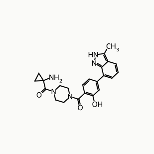 Cc1[nH]nc2c(-c3ccc(C(=O)N4CCN(C(=O)C5(N)CC5)CC4)c(O)c3)cccc12